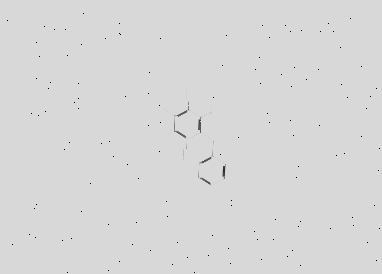 [CH2]c1c(F)c(F)c(Cc2ccccc2)c(F)c1F